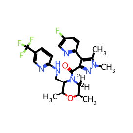 [2H]C1([2H])[C@@H](C)O[C@@H](C)[C@@H](CNc2ccc(C(F)(F)F)cn2)N1C(=O)c1nn(C)c(C)c1-c1ccc(F)cn1